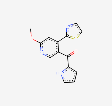 COc1cc(-c2nccs2)c(C(=O)c2ccc[nH]2)cn1